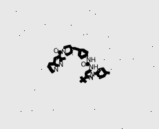 Cc1ccc(-n2nc(C(C)(C)C)cc2NC(=O)Nc2ccc(CC3CCN(C(=O)c4cc5cccnc5nc4C)CC3)cc2)cc1